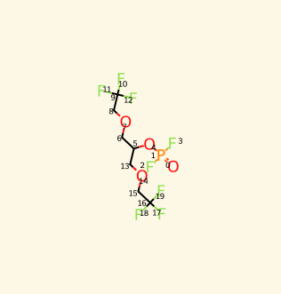 O=P(F)(F)OC(COCC(F)(F)F)COCC(F)(F)F